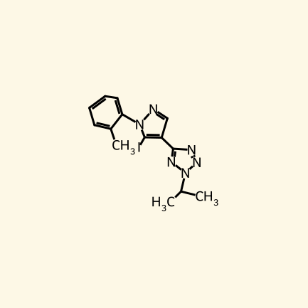 Cc1ccccc1-n1ncc(-c2nnn(C(C)C)n2)c1I